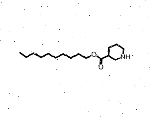 CCCCCCCCCCOC(=O)C1CCCNC1